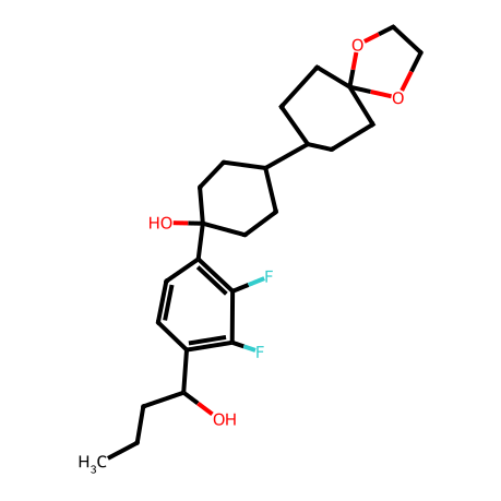 CCCC(O)c1ccc(C2(O)CCC(C3CCC4(CC3)OCCO4)CC2)c(F)c1F